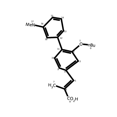 CCCCOc1cc(C=C(C)C(=O)O)ccc1-c1cccc(NC)c1